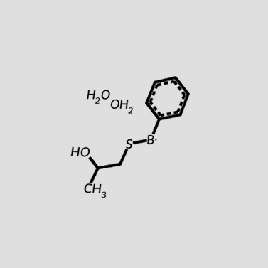 CC(O)CS[B]c1ccccc1.O.O